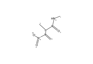 C=C(C(C)C(=O)NC)[N+](=O)[O-]